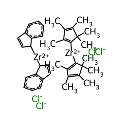 C1=C[CH]([Zr+2][CH]2C=Cc3ccccc32)c2ccccc21.CC1=C(C)C(C)(C)[C]([Zr+2][C]2=C(C)C(C)=C(C)C2(C)C)=C1C.[Cl-].[Cl-].[Cl-].[Cl-]